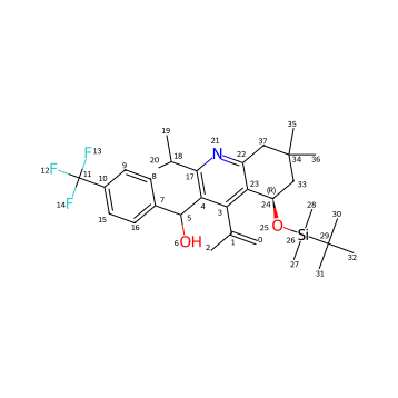 C=C(C)c1c(C(O)c2ccc(C(F)(F)F)cc2)c(C(C)C)nc2c1[C@H](O[Si](C)(C)C(C)(C)C)CC(C)(C)C2